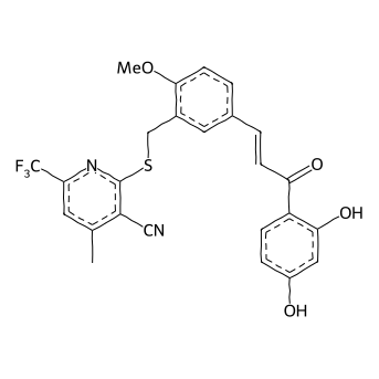 COc1ccc(/C=C/C(=O)c2ccc(O)cc2O)cc1CSc1nc(C(F)(F)F)cc(C)c1C#N